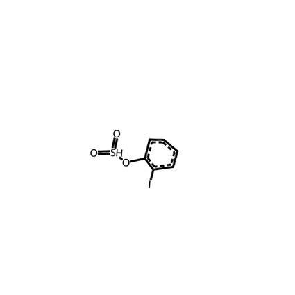 O=[SH](=O)Oc1ccccc1I